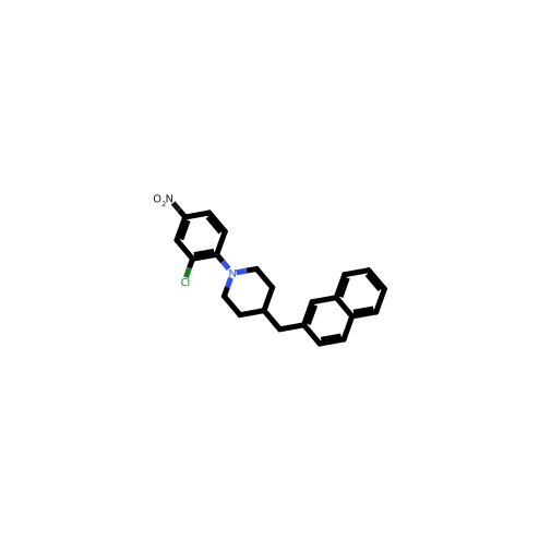 O=[N+]([O-])c1ccc(N2CCC(Cc3ccc4ccccc4c3)CC2)c(Cl)c1